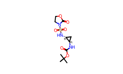 CC(C)(C)OC(=O)N[C@@H]1C[C@H]1NS(=O)(=O)N1CCOC1=O